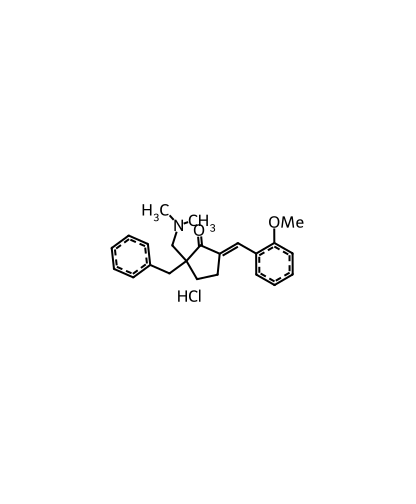 COc1ccccc1/C=C1\CCC(Cc2ccccc2)(CN(C)C)C1=O.Cl